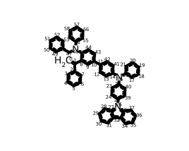 C=C(c1ccccc1)c1cc(-c2ccc(N(c3ccccc3)c3ccc(-n4c5ccccc5c5ccccc54)cc3)cc2)ccc1N(Cc1ccccc1)c1ccccc1